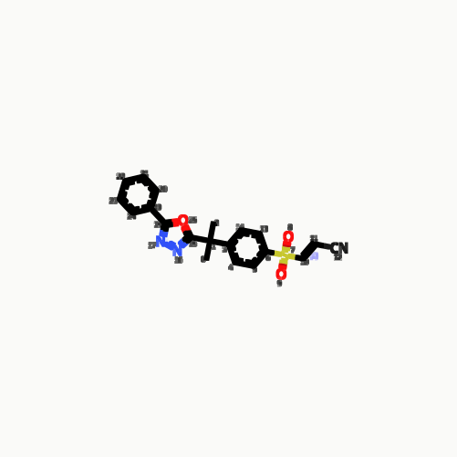 CC(C)(c1ccc(S(=O)(=O)/C=C/C#N)cc1)c1nnc(-c2ccccc2)o1